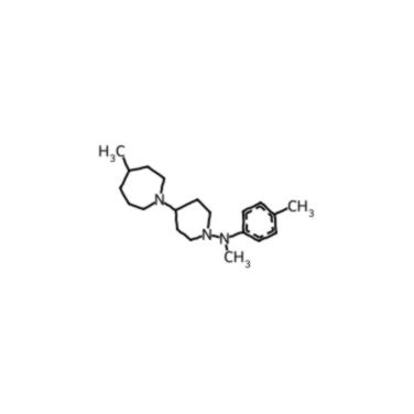 Cc1ccc(N(C)N2CCC(N3CCCC(C)CC3)CC2)cc1